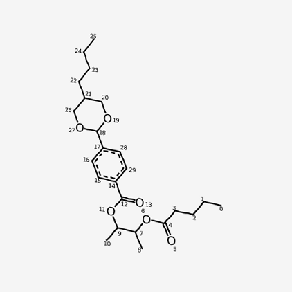 CCCCC(=O)OC(C)C(C)OC(=O)c1ccc(C2OCC(CCCC)CO2)cc1